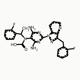 CC(c1ccccc1F)N(C(=O)O)c1c(N)nc(-n2nc(Cc3ccccc3F)c3ncccc32)nc1N